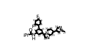 CC(C)C(=O)Nc1cc(-c2ccc(F)cc2F)cc(-c2cnc3cc(-c4cnn(C)c4)ccn23)c1